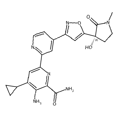 CN1CC[C@@](O)(c2cc(-c3ccnc(-c4cc(C5CC5)c(N)c(C(N)=O)n4)c3)no2)C1=O